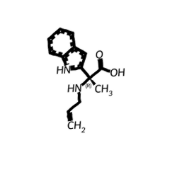 C=CCN[C@@](C)(C(=O)O)c1cc2ccccc2[nH]1